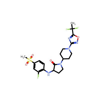 CC(F)(F)c1nc(N2CCC(N3CCC(Nc4ccc(S(C)(=O)=O)cc4F)C3=O)CC2)no1